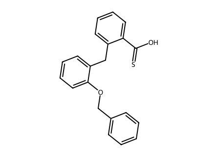 OC(=S)c1ccccc1Cc1ccccc1OCc1ccccc1